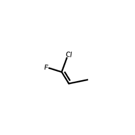 CC=C(F)Cl